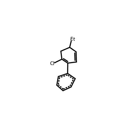 CCC1C=CC(c2ccccc2)=C(Cl)C1